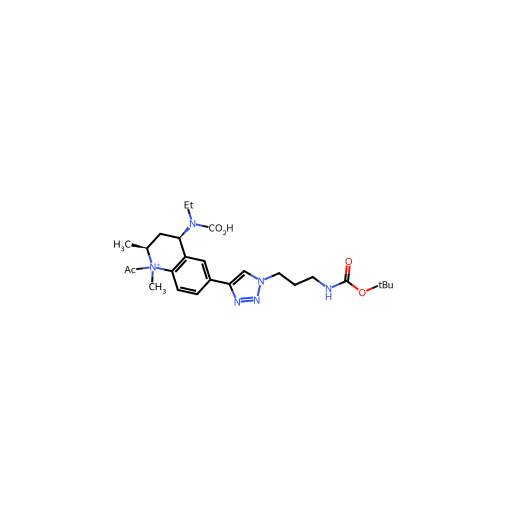 CCN(C(=O)O)[C@@H]1C[C@H](C)[N+](C)(C(C)=O)c2ccc(-c3cn(CCCNC(=O)OC(C)(C)C)nn3)cc21